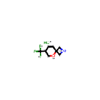 Cl.FC(F)(F)C1CCC2(CNC2)OC1